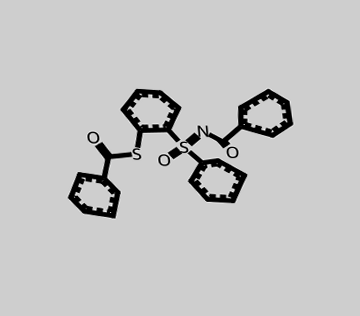 O=C(N=S(=O)(c1ccccc1)c1ccccc1SC(=O)c1ccccc1)c1ccccc1